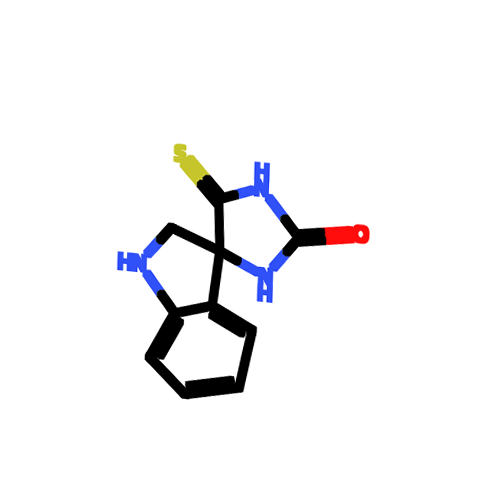 O=C1NC(=S)C2(CNc3ccccc32)N1